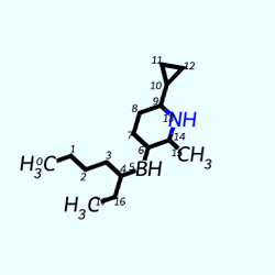 CCCCC(BC1CCC(C2CC2)NC1C)CC